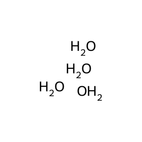 O.O.O.O